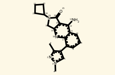 Cc1nn(C)cc1-c1cccc2c(N)c3c(nc12)CN(C1CCC1)C3=O